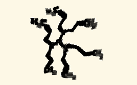 C=CC[N](CC=C)[Fe]([N](CC=C)CC=C)[N](CC=C)CC=C